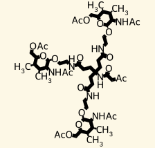 CC(=O)CC(=O)NC(CCC(=O)NCCO[C@@H]1OC(COC(C)=O)[C@H](C)[C@H](C)C1NC(C)=O)(CCC(=O)NCCO[C@@H]1OC(COC(C)=O)[C@H](C)[C@H](C)C1NC(C)=O)CCC(=O)NCCO[C@@H]1OC(COC(C)=O)[C@H](C)[C@H](C)C1NC(C)=O